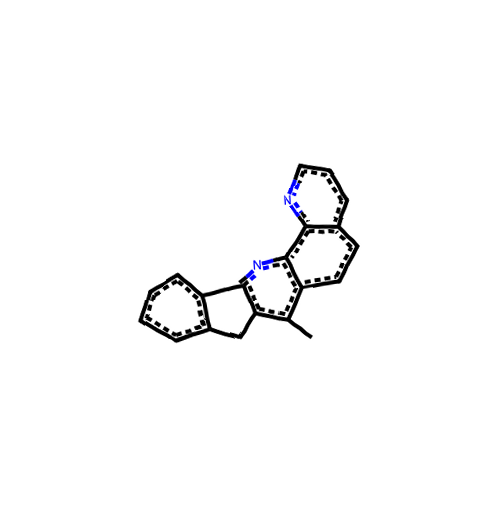 Cc1c2c(nc3c1ccc1cccnc13)-c1ccccc1C2